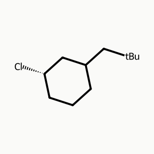 CC(C)(C)CC1CCC[C@H](Cl)C1